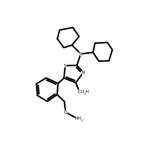 NOCc1ccccc1-c1sc(N(C2CCCCC2)C2CCCCC2)nc1C(=O)O